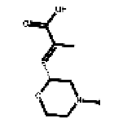 C/C(=C\[C@@H]1CN(I)CCO1)C(=O)O